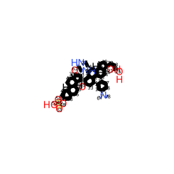 C1CNCCN1.CN(C)c1ccc([C@H]2C[C@@]3(C)[C@@H](CC[C@@]3(O)/C=C\CO)[C@@H]3CCC4=CC(=O)CCC4=C32)cc1.C[C@]12CC[C@@H]3c4ccc(OS(=O)(=O)O)cc4CC[C@H]3[C@@H]1CCC2=O